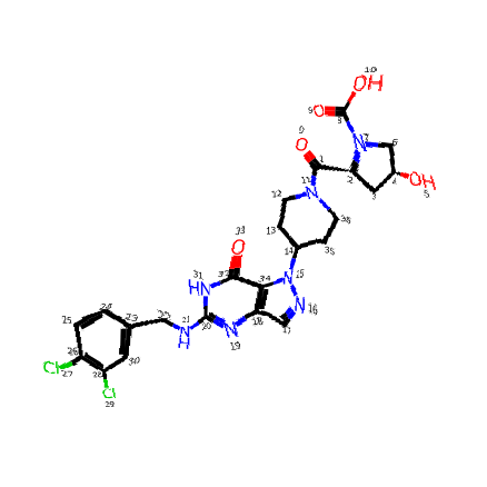 O=C([C@@H]1C[C@H](O)CN1C(=O)O)N1CCC(n2ncc3nc(NCc4ccc(Cl)c(Cl)c4)[nH]c(=O)c32)CC1